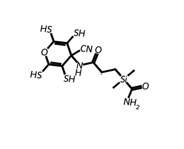 C[Si](C)(C[CH]C(=O)NC1(C#N)C(S)=C(S)OC(S)=C1S)C(N)=O